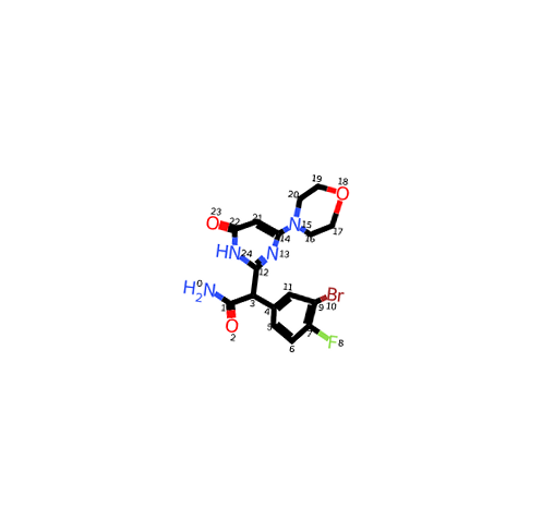 NC(=O)C(c1ccc(F)c(Br)c1)c1nc(N2CCOCC2)cc(=O)[nH]1